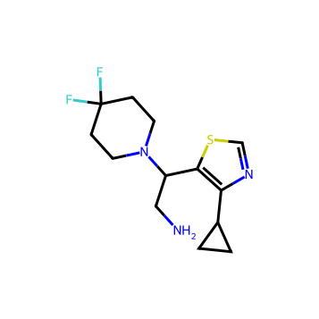 NCC(c1scnc1C1CC1)N1CCC(F)(F)CC1